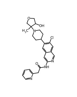 CC1(N2CCC(c3cc4cc(NC(=O)Cc5ccccn5)ncc4cc3Cl)CC2)COCC1O